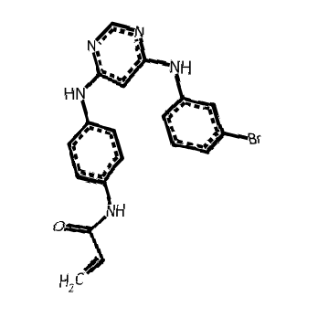 C=CC(=O)Nc1ccc(Nc2cc(Nc3cccc(Br)c3)ncn2)cc1